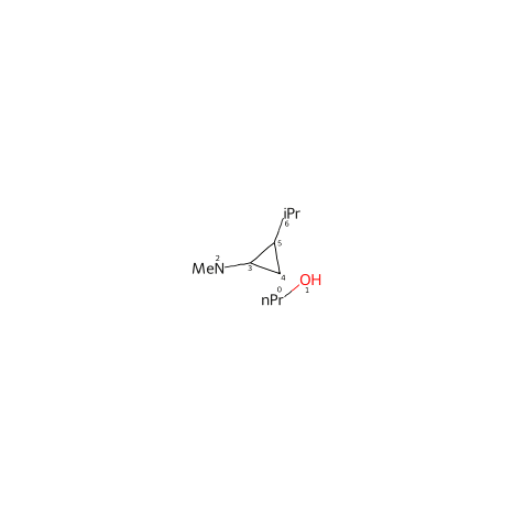 CCCO.CNC1CC1C(C)C